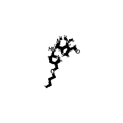 CCCCOCc1ccc(N/C(=N/C)c2scc(C=O)c2N(C)C)nc1